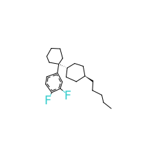 CCCCC[C@H]1CC[C@H](C2(c3ccc(F)c(F)c3)CCCCC2)CC1